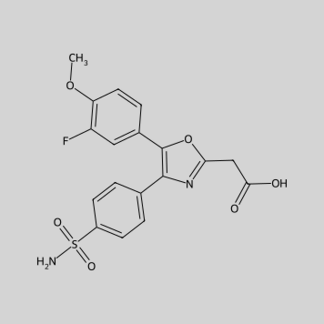 COc1ccc(-c2oc(CC(=O)O)nc2-c2ccc(S(N)(=O)=O)cc2)cc1F